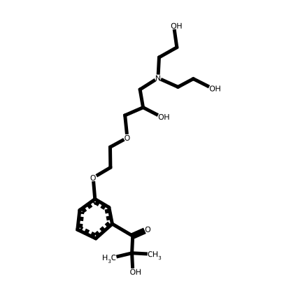 CC(C)(O)C(=O)c1cccc(OCCOCC(O)CN(CCO)CCO)c1